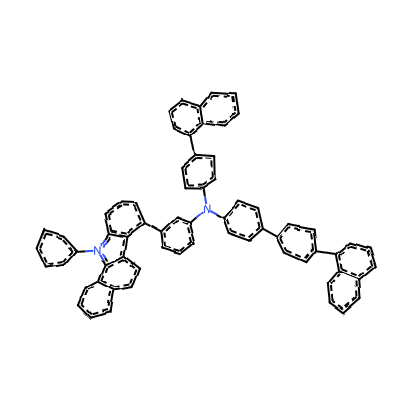 c1ccc(-n2c3cccc(-c4cccc(N(c5ccc(-c6ccc(-c7cccc8ccccc78)cc6)cc5)c5ccc(-c6cccc7ccccc67)cc5)c4)c3c3ccc4ccccc4c32)cc1